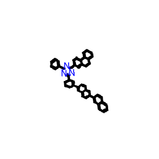 c1ccc(-c2nc(-c3cccc(-c4ccc5cc(-c6ccc7ccccc7c6)ccc5c4)c3)nc(-c3ccc4c(ccc5ccccc54)c3)n2)cc1